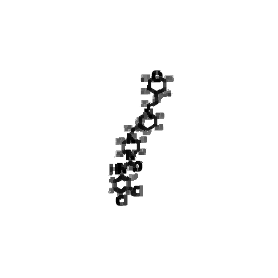 O=C(Nc1ccc(Cl)c(Cl)c1)N1CCN(C[C@@H]2CCCN(CCC3CCOCC3)C2)CC1